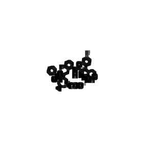 N=[N+]=N[C@H](C(=O)Nc1cccc(F)c1CCC1CN(C(=O)[O-])CC2(CC2)CN1S(=O)(=O)c1ccccc1)[C@@H](c1ccc(F)cc1)C1CCOCC1